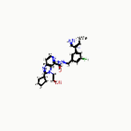 CN/C=C(\C=N)c1cc(F)cc(CNC(=O)c2nccc3nc(C4CCCC4)n(CCO)c23)c1